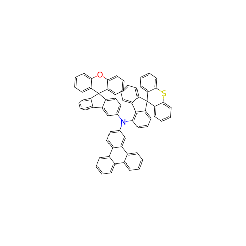 c1ccc2c(c1)Oc1ccccc1C21c2ccccc2-c2cc(N(c3ccc4c5ccccc5c5ccccc5c4c3)c3cccc4c3-c3ccccc3C43c4ccccc4Sc4ccccc43)ccc21